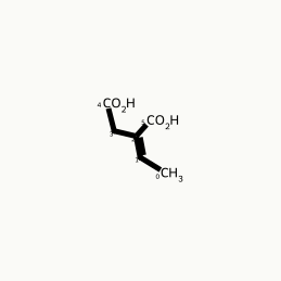 C/C=C(/CC(=O)O)C(=O)O